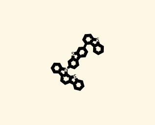 c1ccc2c(c1)sc1c2ccc2c3ccccc3n(-c3ccc4c(c3)sc3cc(-c5cccc6sc7ccccc7c56)ccc34)c21